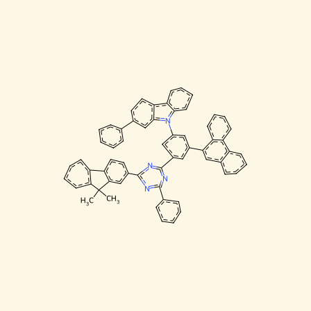 CC1(C)c2ccccc2-c2ccc(-c3nc(-c4ccccc4)nc(-c4cc(-c5cc6ccccc6c6ccccc56)cc(-n5c6ccccc6c6ccc(-c7ccccc7)cc65)c4)n3)cc21